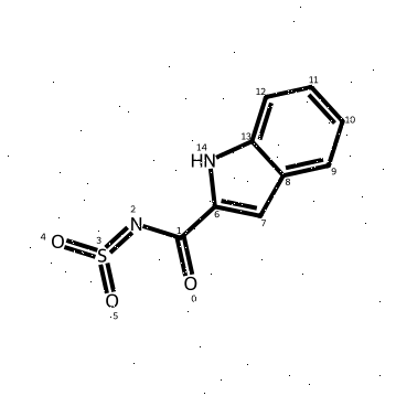 O=C(N=S(=O)=O)c1cc2ccccc2[nH]1